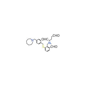 CN(Cc1c(C=O)cccc1SCc1ccc(CN2CCCCCCC2)cc1)C(C=O)CCC=O